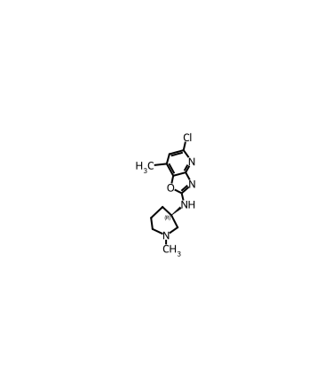 Cc1cc(Cl)nc2nc(N[C@@H]3CCCN(C)C3)oc12